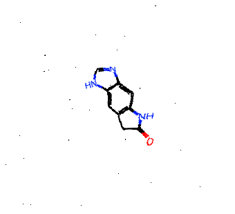 O=C1Cc2cc3[nH]cnc3cc2N1